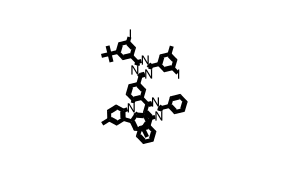 Cc1cc(I)cc(-c2nc(-c3cc(I)cc(C(C)(C)C)c3)nc(-c3ccc(-n4c5ccc(C)cc5c5cc(C)ccc54)c(-c4cc(-c5ccccc5)nc(-c5ccccc5)n4)c3)n2)c1